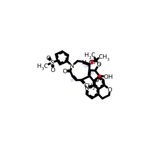 C=C1/C=C\C(=O)N(c2cccc(S(C)(=O)=O)c2)C/C=C(C)\C(C(OC(C)(C)C)C(=O)O)=C/1c1ccc2c3c(ccnc13)CCO2